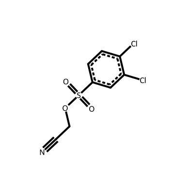 N#CCOS(=O)(=O)c1ccc(Cl)c(Cl)c1